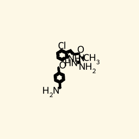 CN(C(=N)N)C(=O)c1cc2c(Cl)ccc(OCc3ccc(CN)cc3)c2[nH]1